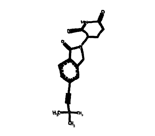 C[Si](C)(C)C#Cc1ccc2c(c1)CN(C1CCC(=O)NC1=O)C2=O